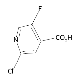 O=C(O)c1cc(Cl)ncc1F